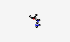 c1ccc(-c2ccc3oc4c(-c5ccc6c(c5)c5ccccc5n6-c5ccc(-c6nc7ccccc7n6-c6ccccc6)cc5)cc(-c5ccccc5)cc4c3c2)cc1